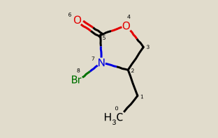 CCC1COC(=O)N1Br